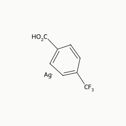 O=C(O)c1ccc(C(F)(F)F)cc1.[Ag]